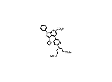 COCCN(CCOC)c1ccc(-c2cc(C(=O)O)nc3c2c(C2CCC2)nn3-c2ccccc2)cn1